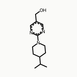 CC(C)C1CCN(c2ncc(CO)cn2)CC1